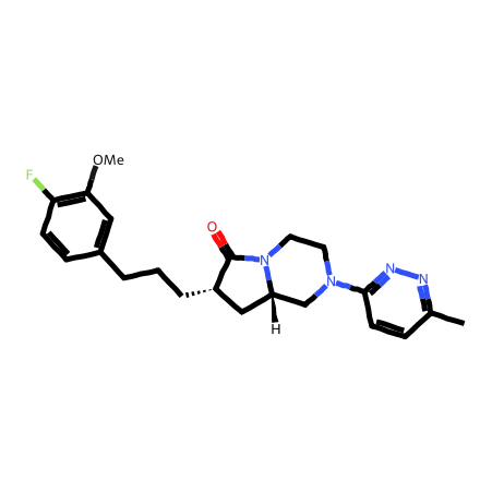 COc1cc(CCC[C@H]2C[C@H]3CN(c4ccc(C)nn4)CCN3C2=O)ccc1F